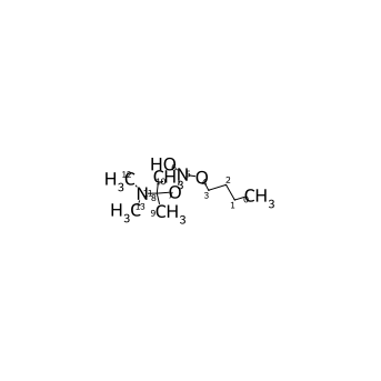 CCCCON(O)OC(C)(C)N(C)C